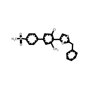 Cc1cc(-c2ccc(S(C)(=O)=O)cc2)cc(Cl)c1-c1cnc(Cc2ccccc2)o1